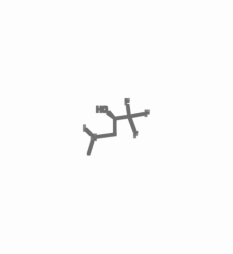 CN(I)C[C@@H](O)C(F)(F)F